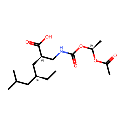 CC[C@@H](CC(C)C)C[C@H](CNC(=O)O[C@@H](C)OC(C)=O)C(=O)O